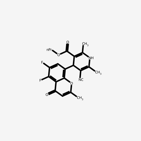 [C-]#[N+]C1=C(C)NC(C)=C(C(=O)OCCC)C1c1cc(F)c(F)c2c(=O)cc(C)oc12